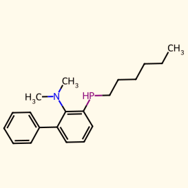 CCCCCCPc1cccc(-c2ccccc2)c1N(C)C